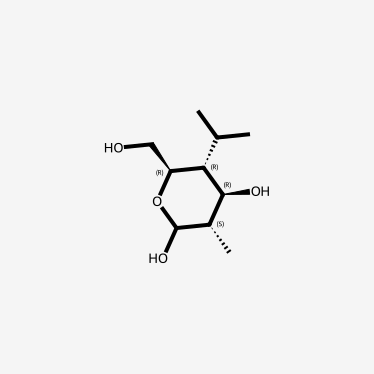 CC(C)[C@@H]1[C@@H](O)[C@H](C)C(O)O[C@H]1CO